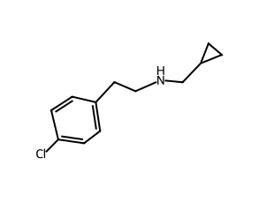 Clc1ccc(CCNCC2CC2)cc1